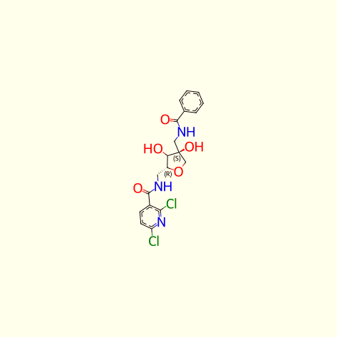 O=C(NC[C@]1(O)CO[C@H](CNC(=O)c2ccc(Cl)nc2Cl)C1O)c1ccccc1